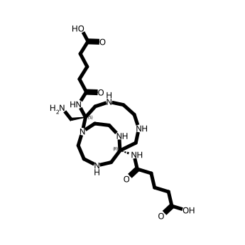 NC[C@@]1(NC(=O)CCCC(=O)O)CNCCNC[C@@]2(NC(=O)CCCC(=O)O)CNCCN1CCN2